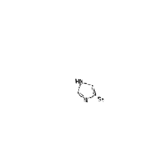 [Se].c1c[nH]cn1